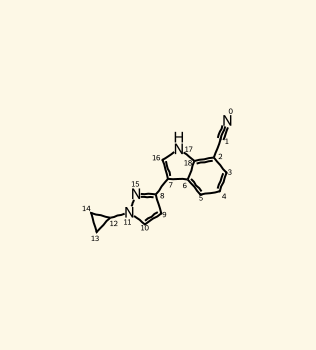 N#Cc1cccc2c(-c3ccn(C4CC4)n3)c[nH]c12